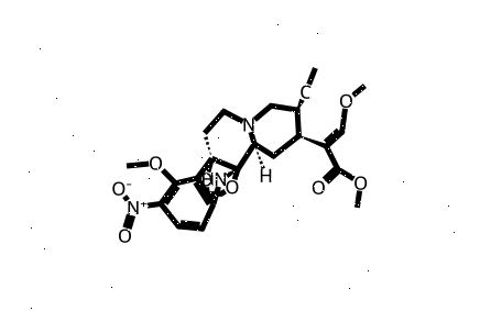 CC[C@@H]1CN2CC[C@@]34OCCO[C@@]3(Nc3ccc([N+](=O)[O-])c(OC)c34)[C@@H]2C[C@@H]1/C(=C\OC)C(=O)OC